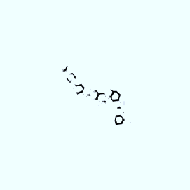 COc1ccccc1NC(=O)Nc1ccc(C)c(N2Cc3cnc(Nc4ccc(N5CCN(C(C)=O)CC5)nc4)nc3N(C)C2=O)c1